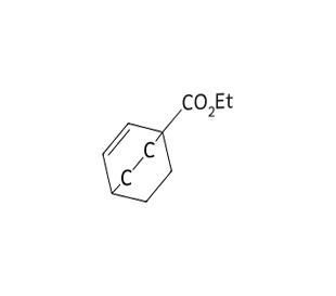 CCOC(=O)C12C=CC(CC1)CC2